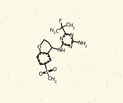 CC(C)(F)c1nc(N)nc(NC2CCOc3ccc(S(C)(=O)=O)cc32)n1